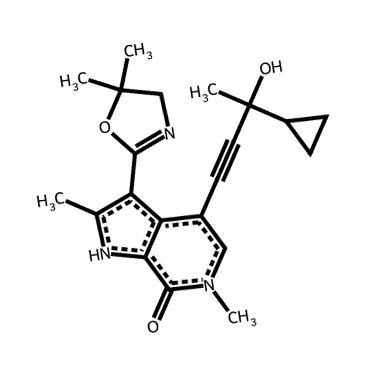 Cc1[nH]c2c(=O)n(C)cc(C#CC(C)(O)C3CC3)c2c1C1=NCC(C)(C)O1